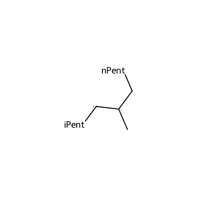 CCCCCCC(C)[CH]C(C)CCC